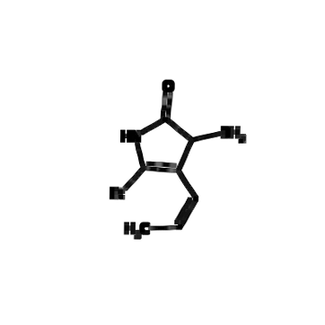 BC1C(=O)NC(CC)=C1/C=C\C